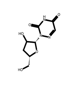 O=c1cnn([C@@H]2O[C@H](CO)CC2O)c(=O)[nH]1